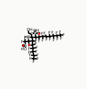 O=S(=O)(O)C(F)(F)C(F)(F)C(F)(C(F)(F)C(F)(F)C(F)(F)C(F)(F)C(F)(F)F)C(O)(CCO)C(F)(C(F)(F)C(F)(F)C(F)(F)C(F)(F)C(F)(F)C(F)(F)C(F)(F)F)S(=O)(=O)O